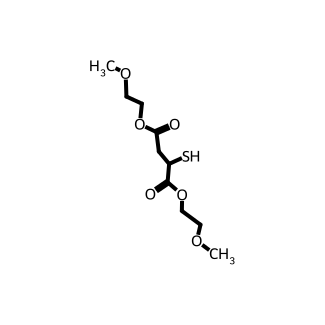 COCCOC(=O)CC(S)C(=O)OCCOC